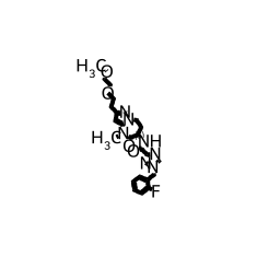 COCCOCCc1cc2n(n1)CC[C@H](NC(=O)c1ncn(Cc3ccccc3F)n1)C(=O)N2C